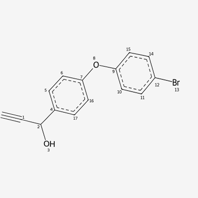 C#CC(O)c1ccc(Oc2ccc(Br)cc2)cc1